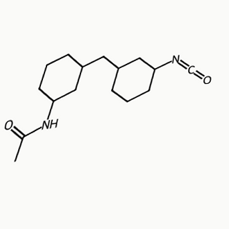 CC(=O)NC1CCCC(CC2CCCC(N=C=O)C2)C1